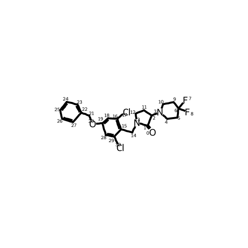 O=C1C(N2CCC(F)(F)CC2)CCN1Cc1c(Cl)cc(OCc2ccccc2)cc1Cl